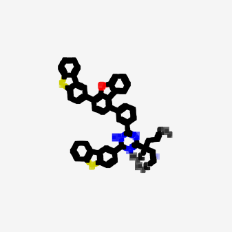 C=CCC(C)(/C=C\C)C1=NC(c2ccc3sc4c(c3c2)CCC=C4)NC(c2cccc(-c3ccc(-c4ccc5sc6ccccc6c5c4)c4oc5ccccc5c34)c2)=N1